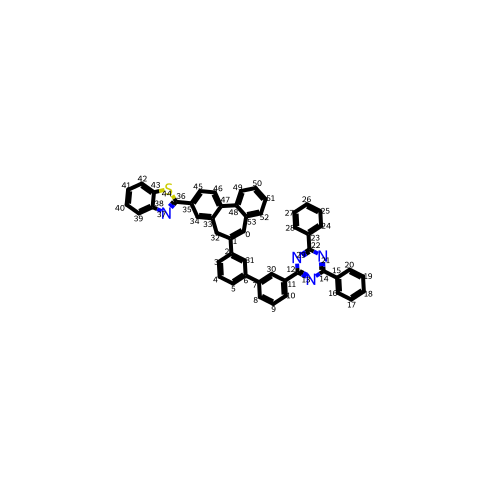 C1=C(c2cccc(-c3cccc(-c4nc(-c5ccccc5)nc(-c5ccccc5)n4)c3)c2)Cc2cc(-c3nc4ccccc4s3)ccc2-c2ccccc21